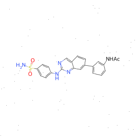 CC(=O)Nc1cccc(-c2ccc3cnc(Nc4ccc(S(N)(=O)=O)cc4)nc3c2)c1